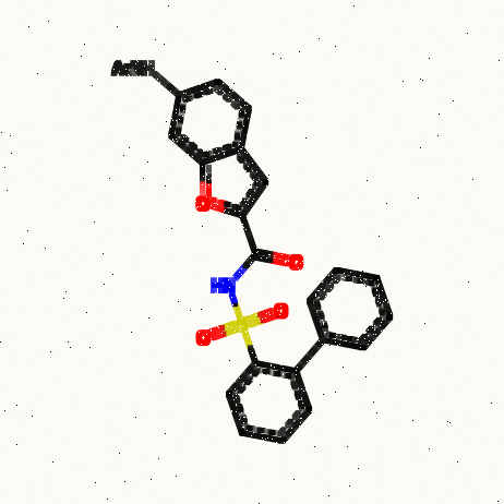 CC(=O)Nc1ccc2cc(C(=O)NS(=O)(=O)c3ccccc3-c3ccccc3)oc2c1